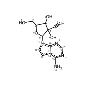 C#CC1(O)C(O)C(CO)OC1n1ccc2c(N)ncnc21